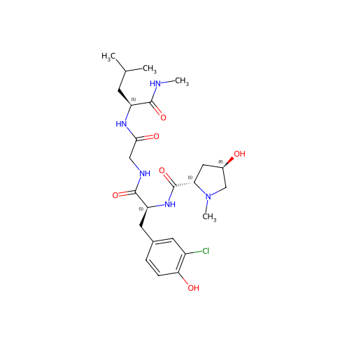 CNC(=O)[C@H](CC(C)C)NC(=O)CNC(=O)[C@H](Cc1ccc(O)c(Cl)c1)NC(=O)[C@@H]1C[C@@H](O)CN1C